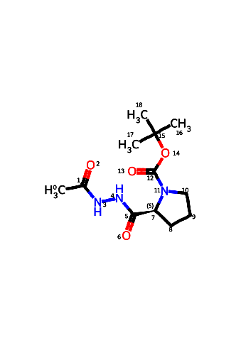 CC(=O)NNC(=O)[C@@H]1CCCN1C(=O)OC(C)(C)C